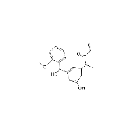 C=CC(=O)N(C)c1cc(O)cc(C(O)c2ccccc2OC)c1